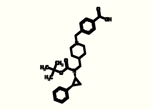 CC(C)(C)OC(=O)N(CC1CCN(Cc2ccc(C(=O)O)cc2)CC1)[C@@H]1C[C@H]1c1ccccc1